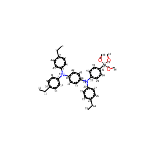 CCc1ccc(N(c2ccc(CC)cc2)c2ccc(N(c3ccc(CC)cc3)c3ccc([Si](OC)(OC)OC)cc3)cc2)cc1